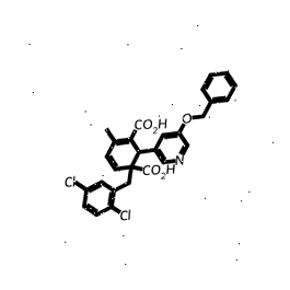 CC1=C(C(=O)O)C(c2cncc(OCc3ccccc3)c2)C(Cc2cc(Cl)ccc2Cl)(C(=O)O)C=C1